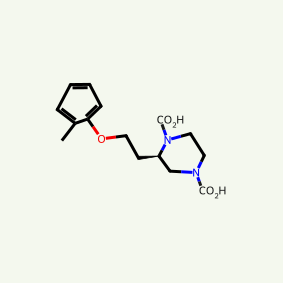 Cc1ccccc1OCC[C@@H]1CN(C(=O)O)CCN1C(=O)O